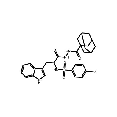 O=C(NNC(=O)C12CC3CC(CC(C3)C1)C2)C(Cc1c[nH]c2ccccc12)NS(=O)(=O)c1ccc(Br)cc1